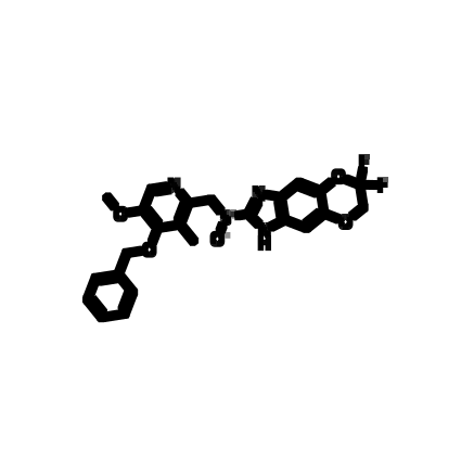 COc1cnc(C[S+]([O-])c2nc3cc4c(cc3[nH]2)OCC(F)(F)O4)c(C)c1OCc1ccccc1